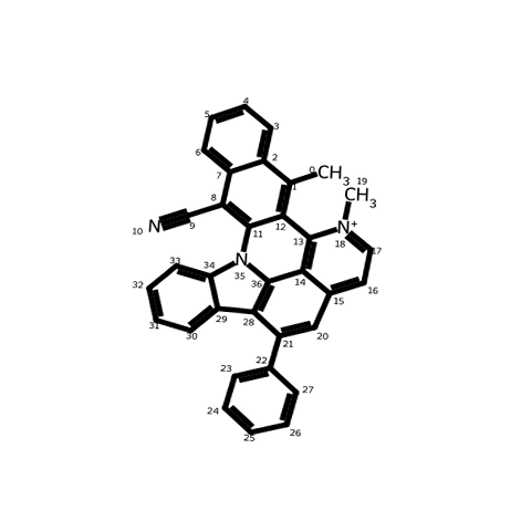 Cc1c2ccccc2c(C#N)c2c1c1c3c(cc[n+]1C)cc(-c1ccccc1)c1c4ccccc4n2c13